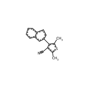 Cc1sc(C)c(-c2ccc3ccccc3c2)c1C#N